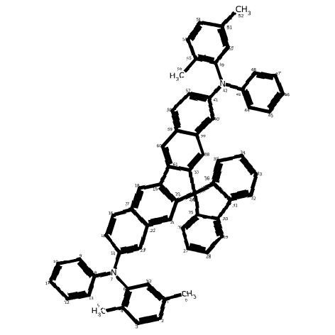 Cc1ccc(C)c(N(c2ccccc2)c2ccc3cc4c(cc3c2)C2(c3ccccc3-c3ccccc32)c2cc3cc(N(c5ccccc5)c5cc(C)ccc5C)ccc3cc2-4)c1